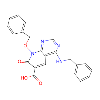 O=C(O)c1cc2c(NCc3ccccc3)ncnc2n(OCc2ccccc2)c1=O